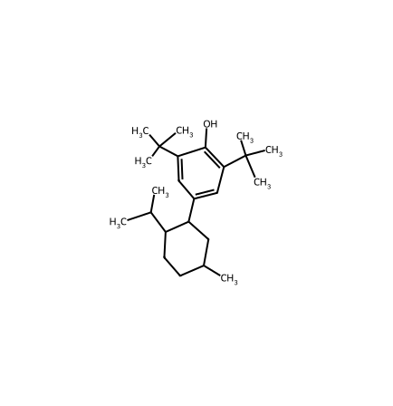 CC1CCC(C(C)C)C(c2cc(C(C)(C)C)c(O)c(C(C)(C)C)c2)C1